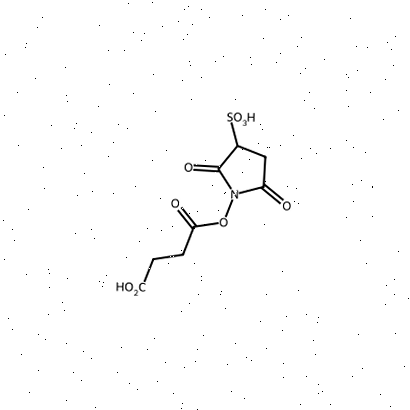 O=C(O)CCC(=O)ON1C(=O)CC(S(=O)(=O)O)C1=O